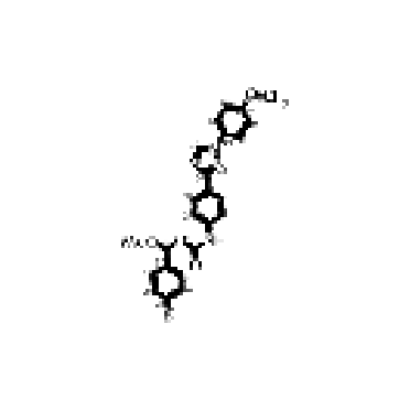 COC(OC(=O)Nc1ccc(-c2ncn(-c3ccc(OC(F)(F)F)cc3)n2)cc1)c1ccc(Br)cc1